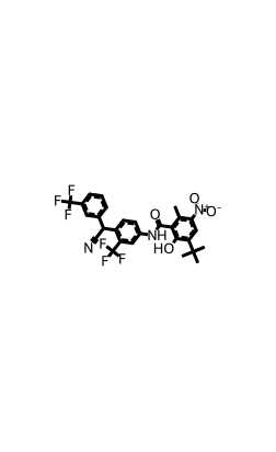 Cc1c([N+](=O)[O-])cc(C(C)(C)C)c(O)c1C(=O)Nc1ccc(C(C#N)c2cccc(C(F)(F)F)c2)c(C(F)(F)F)c1